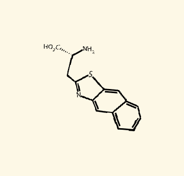 N[C@H](Cc1nc2cc3ccccc3cc2s1)C(=O)O